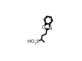 CC(CCc1nc2[c]cccc2o1)S(=O)(=O)O